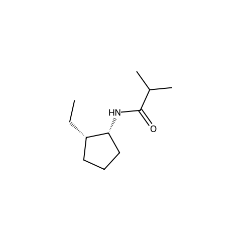 CC[C@H]1CCC[C@H]1NC(=O)C(C)C